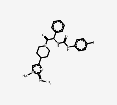 C/N=c1\sc(C2CCN(C(=O)[C@H](NC(=O)Nc3ccc(I)cc3)c3ccccc3)CC2)cn1C